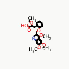 CCOC(Cc1ccccc1OCc1cnc2cc(OC)c(OC)cc2c1OC)C(=O)O